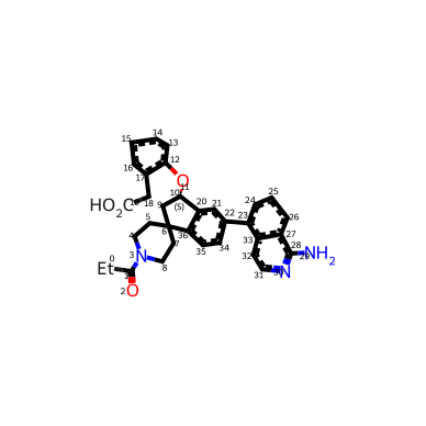 CCC(=O)N1CCC2(CC1)C[C@H](Oc1ccccc1CC(=O)O)c1cc(-c3cccc4c(N)nccc34)ccc12